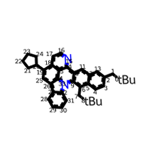 CC(C)(C)Cc1ccc2c(CC(C)(C)C)c3c(cc2c1)c1nccc2c(C4CCCC4)cc4c5ccccc5n3c4c21